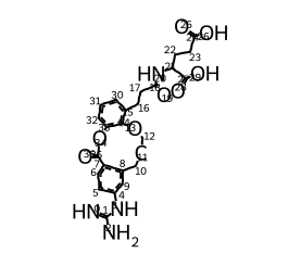 N=C(N)Nc1ccc2c(c1)CCCOc1c(CCC(=O)NC(CCC(=O)O)C(=O)O)cccc1OC2=O